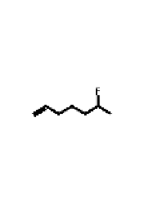 C=CCCCC(C)F